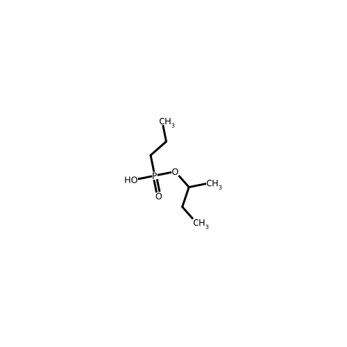 CCCP(=O)(O)OC(C)CC